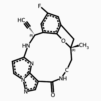 C#C[C@H]1Nc2ccn3ncc(c3n2)C(=O)NCC[C@@]2(C)Cc3cc(F)cc1c3O2